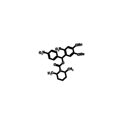 COc1cc(C(OC(=O)N2C(C)CCCC2C)c2ccc([N+](=O)[O-])cc2)c([N+](=O)[O-])cc1OC